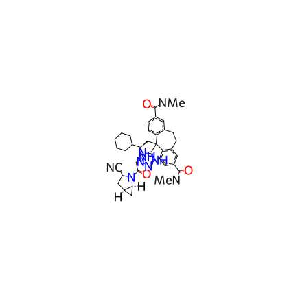 CNC(=O)c1ccc2c(c1)CCc1cc(C(=O)NC)ccc1C2(C[C@@H](NCC(=O)N1C(C#N)C[C@@H]2C[C@@H]21)C1CCCCC1)c1nnn[nH]1